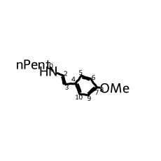 CCCCCNC=Cc1ccc(OC)cc1